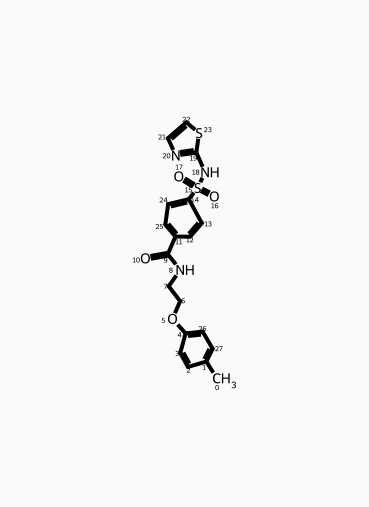 Cc1ccc(OCCNC(=O)c2ccc(S(=O)(=O)Nc3nccs3)cc2)cc1